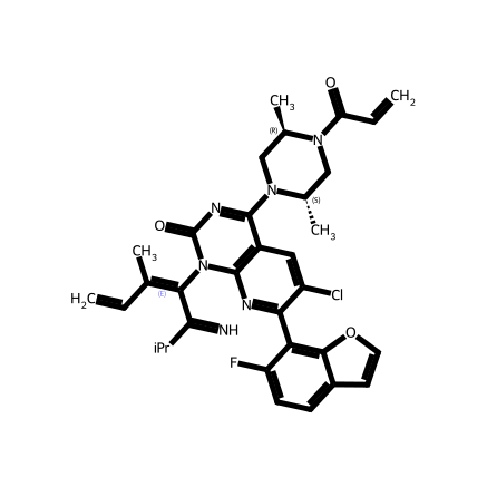 C=CC(=O)N1C[C@H](C)N(c2nc(=O)n(/C(C(=N)C(C)C)=C(\C)C=C)c3nc(-c4c(F)ccc5ccoc45)c(Cl)cc23)C[C@H]1C